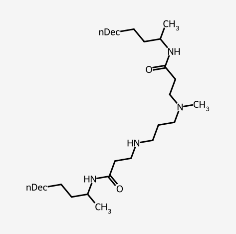 CCCCCCCCCCCCC(C)NC(=O)CCNCCCN(C)CCC(=O)NC(C)CCCCCCCCCCCC